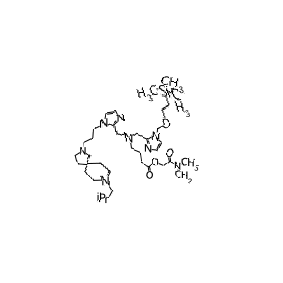 CC(C)CN1CCC2(CC1)CCN(CCCn1ccnc1CN(CCCC(=O)OCC(=O)N(C)C)Cc1nccn1COCC[Si](C)(C)C)C2